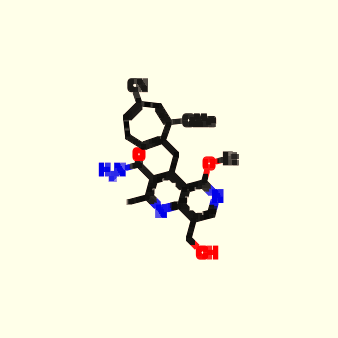 CCOc1ncc(CO)c2nc(C)c(C(N)=O)c(CC3=CCC=C(C#N)C=C3OC)c12